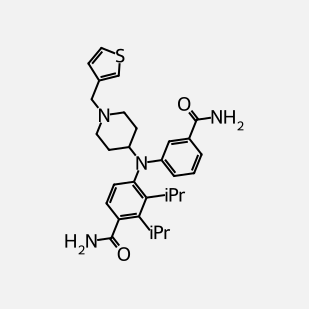 CC(C)c1c(C(N)=O)ccc(N(c2cccc(C(N)=O)c2)C2CCN(Cc3ccsc3)CC2)c1C(C)C